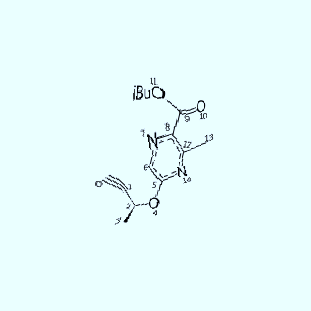 C#C[C@H](C)Oc1cnc(C(=O)OCC(C)C)c(C)n1